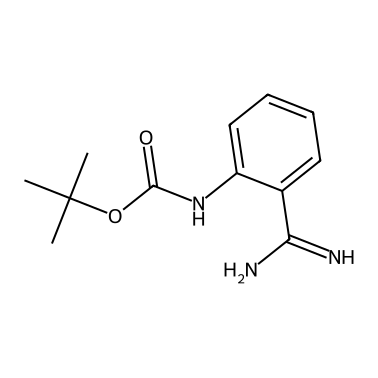 CC(C)(C)OC(=O)Nc1ccccc1C(=N)N